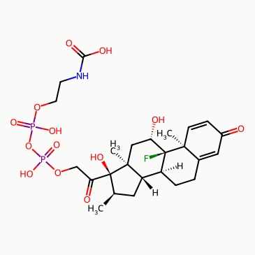 C[C@@H]1C[C@H]2[C@@H]3CCC4=CC(=O)C=C[C@]4(C)[C@@]3(F)[C@@H](O)C[C@]2(C)[C@@]1(O)C(=O)COP(=O)(O)OP(=O)(O)OCCNC(=O)O